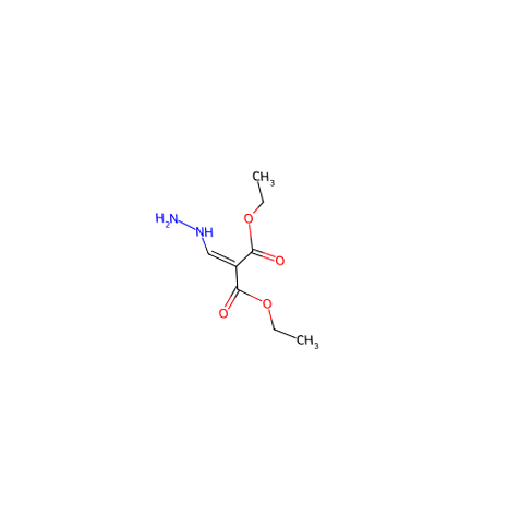 CCOC(=O)C(=CNN)C(=O)OCC